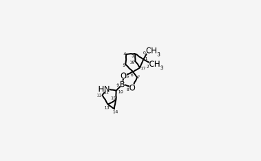 CC1(C)C2CCC3(COB(C4NCC5CC54)O3)C1C2